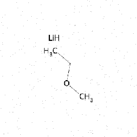 CCOC.[LiH]